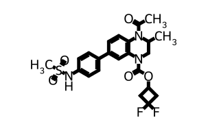 CC(=O)N1c2ccc(-c3ccc(NS(C)(=O)=O)cc3)cc2N(C(=O)OC2CC(F)(F)C2)CC1C